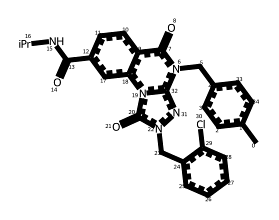 Cc1ccc(Cn2c(=O)c3ccc(C(=O)NC(C)C)cc3n3c(=O)n(Cc4ccccc4Cl)nc23)cc1